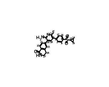 Nc1nc(F)c(-c2ccc(S(=O)(=O)C3CC3)cc2)cc1-c1ccc2c(c1)CCNC2=O